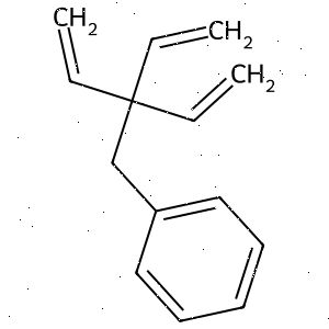 C=CC(C=C)(C=C)Cc1ccccc1